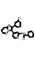 O=C(Nc1cc(-c2c(-c3cccc(Cl)c3)nc3cccnn23)ccn1)c1ccccc1